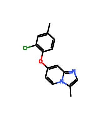 Cc1ccc(Oc2ccn3c(C)cnc3c2)c(Cl)c1